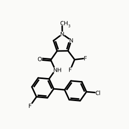 Cn1cc(C(=O)Nc2ccc(F)cc2-c2ccc(Cl)cc2)c(C(F)F)n1